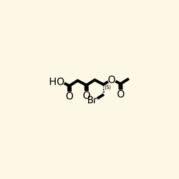 CC(=O)O[C@H](CBr)CC(=O)CC(=O)O